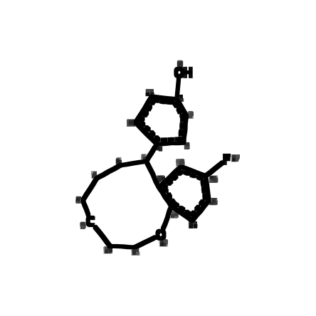 Oc1ccc(C2CCCCCCOc3ccc(F)cc32)cc1